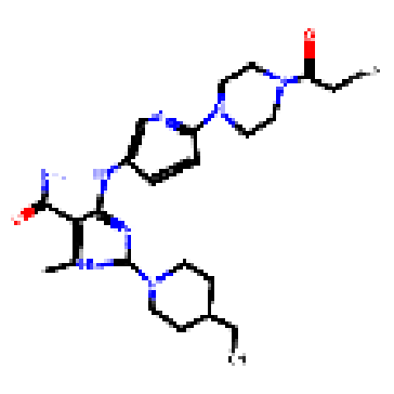 CC1=C(C(N)=O)C(Nc2ccc(N3CCN(C(=O)CC#N)CC3)nc2)=NC(N2CCC(CC#N)CC2)N1